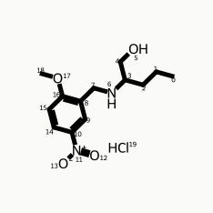 CCCC(CO)NCc1cc([N+](=O)[O-])ccc1OC.Cl